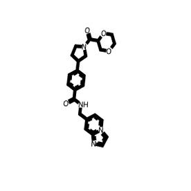 O=C(NCc1ccn2ccnc2c1)c1ccc(C2CCN(C(=O)C3COCCO3)C2)cc1